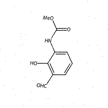 COC(=O)Nc1cccc([C]=O)c1O